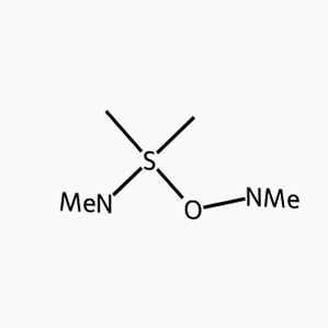 CNOS(C)(C)NC